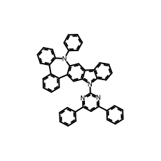 c1ccc(-c2cc(-c3ccccc3)nc(-n3c4ccccc4c4cc5c(cc43)-c3ccccc3-c3ccccc3N5c3ccccc3)n2)cc1